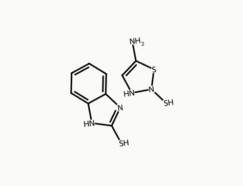 NC1=CNN(S)S1.Sc1nc2ccccc2[nH]1